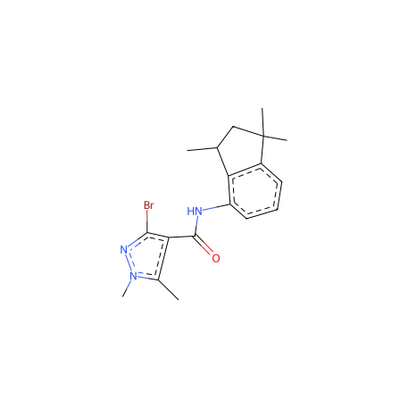 Cc1c(C(=O)Nc2cccc3c2C(C)CC3(C)C)c(Br)nn1C